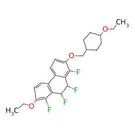 CCOc1ccc2c(c1F)C(F)C(F)c1c-2ccc(OCC2CCC(OCC)CC2)c1F